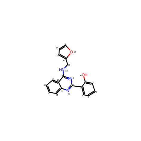 Oc1ccccc1-c1nc(NCc2ccco2)c2ccccc2n1